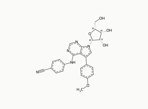 COc1ccc(-c2cn([C@@H]3O[C@H](CO)[C@H](O)[C@@H]3O)c3ncnc(Nc4ccc(C#N)cc4)c23)cc1